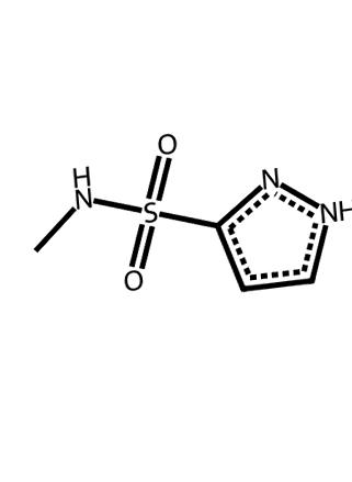 CNS(=O)(=O)c1cc[nH]n1